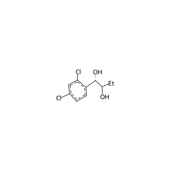 CCC(O)[C@@H](O)c1ccc(Cl)cc1Cl